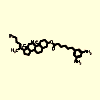 CC(C)CCCC(C)C1CCC2C3CCC4CC(OC(=O)CCCCCc5cc(N)cc(N)c5)CCC4(C)C3CCC12C